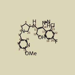 COc1ccc(CN2CCC(N/C(CO)=C(\N=N)c3ccc(F)cc3Cl)C2)cn1